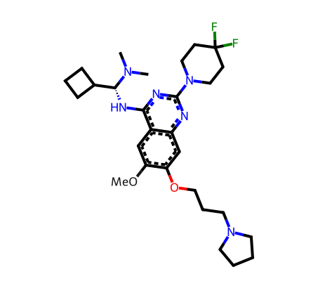 COc1cc2c(N[C@H](C3CCC3)N(C)C)nc(N3CCC(F)(F)CC3)nc2cc1OCCCN1CCCC1